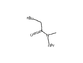 CCCCCC(=O)N(C)CCC